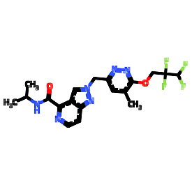 Cc1cc(Cn2cc3c(C(=O)NC(C)C)nccc3n2)nnc1OCC(F)(F)C(F)F